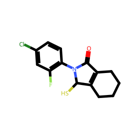 O=C1C2=C(CCCC2)C(S)N1c1ccc(Cl)cc1F